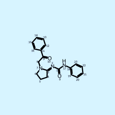 O=C(/N=C1\CCCN1CC(=O)c1ccccc1)Nc1ccccc1